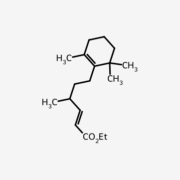 CCOC(=O)/C=C/C(C)CCC1=C(C)CCCC1(C)C